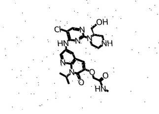 CNC(=O)COc1cc2cc(Nc3nc(N4CCNC[C@@H]4CO)ncc3Cl)cnc2n(C(C)C)c1=O